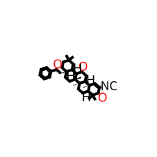 [C-]#[N+]C1=C[C@]2(C)[C@H]3CC(=O)[C@@H]4[C@@H]5CC(C)(C)CC[C@]5(CC(=O)c5ccccc5)CC[C@@]4(C)[C@]3(C)CC[C@H]2C(C)(C)C1=O